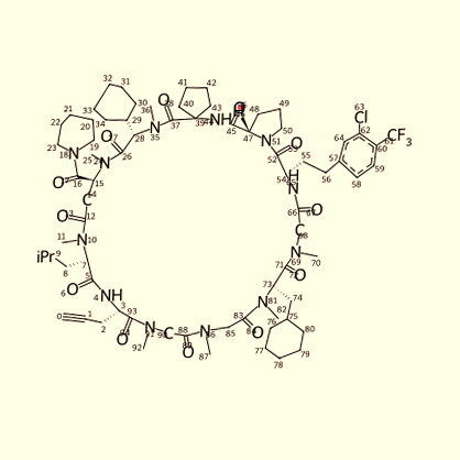 C#CC[C@@H]1NC(=O)[C@H](CC(C)C)N(C)C(=O)C[C@@H](C(=O)N2CCCCC2)N(C)C(=O)[C@H](C2CCCCC2)N(C)C(=O)C2(CCCC2)NC(=O)[C@@H]2CCCN2C(=O)[C@H](CCc2ccc(C(F)(F)F)c(Cl)c2)NC(=O)CN(C)C(=O)[C@H](CC2CCCCC2)N(C)C(=O)CN(C)C(=O)CN(C)C1=O